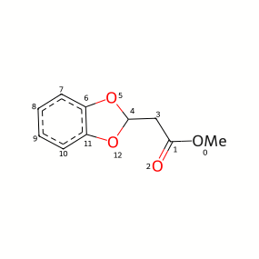 COC(=O)CC1Oc2ccccc2O1